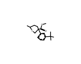 COC(=O)C1(c2cccc(C(C)(C)C)c2)CCC(C)CC1